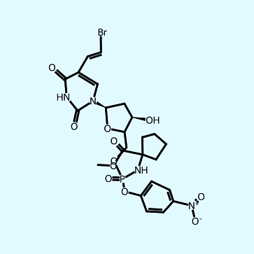 COC(=O)C1(NP(=O)(OCC2O[C@@H](n3cc(/C=C/Br)c(=O)[nH]c3=O)C[C@H]2O)Oc2ccc([N+](=O)[O-])cc2)CCCC1